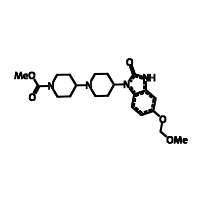 COCOc1ccc2c(c1)[nH]c(=O)n2C1CCN(C2CCN(C(=O)OC)CC2)CC1